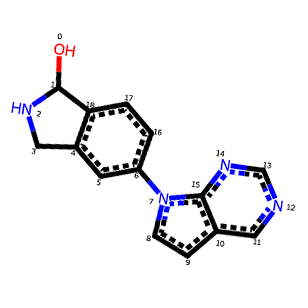 OC1NCc2cc(-n3ccc4cncnc43)ccc21